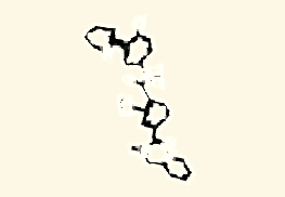 CN(Cc1ccccn1)C(=O)c1ccc(C(=O)Nc2ccc(Cl)c(-c3ccccn3)c2)c(Cl)c1